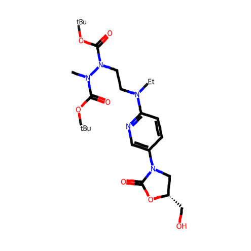 CCN(CCN(C(=O)OC(C)(C)C)N(C)C(=O)OC(C)(C)C)c1ccc(N2C[C@H](CO)OC2=O)cn1